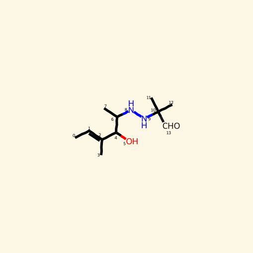 CC=C(C)C(O)C(C)NNC(C)(C)C=O